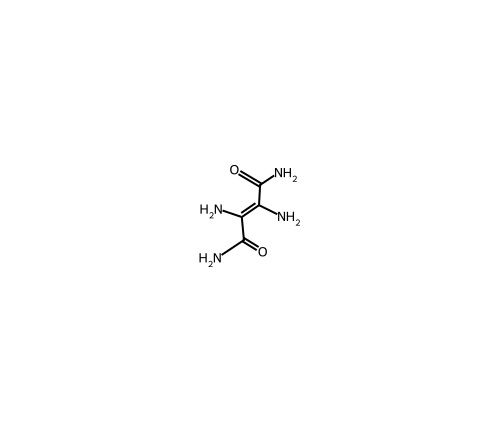 NC(=O)C(N)=C(N)C(N)=O